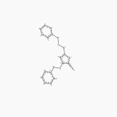 S=c1sc(SCCc2ccccn2)nn1CCc1ccccn1